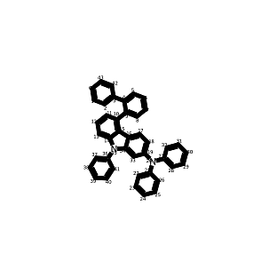 c1ccc(-c2ccccc2-c2cccc3c2c2ccc(N(c4ccccc4)c4ccccc4)cc2n3-c2ccccc2)cc1